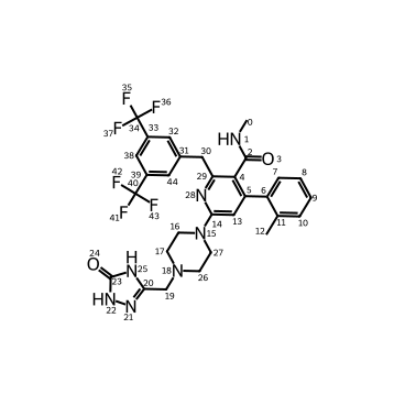 CNC(=O)c1c(-c2ccccc2C)cc(N2CCN(Cc3n[nH]c(=O)[nH]3)CC2)nc1Cc1cc(C(F)(F)F)cc(C(F)(F)F)c1